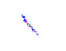 Cn1c(-c2cn(CC(F)F)nc2C(F)(F)F)cnc1C(=O)Nc1ccc(C(=O)N[C@H]2[C@@H]3CN(C(=O)N[C@H]4C[C@@H](N)C4)C[C@@H]32)c(Cl)c1